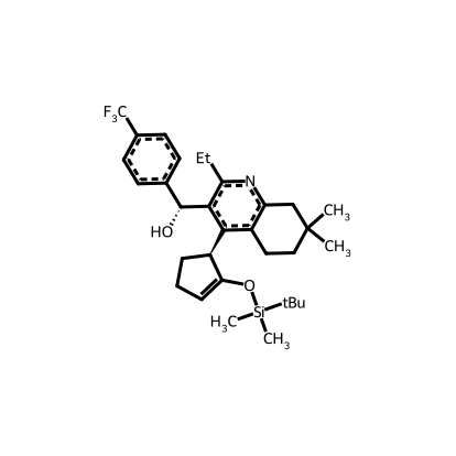 CCc1nc2c(c([C@@H]3CCC=C3O[Si](C)(C)C(C)(C)C)c1[C@H](O)c1ccc(C(F)(F)F)cc1)CCC(C)(C)C2